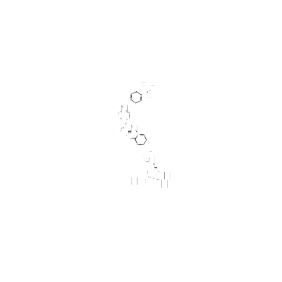 CC(C)(C)OC(=O)N1CCC(c2ccc3nc(C(=O)N4CCN(Cc5ccc(C(F)(F)F)cc5)CC4)sc3c2)CC1